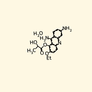 CCOc1ccc2nc3cc(N)ccc3c(N)c2c1OC(=O)C(C)O.O